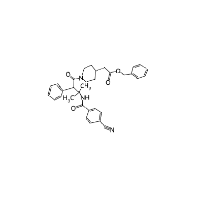 CC(C)(NC(=O)c1ccc(C#N)cc1)C(C(=O)N1CCC(CC(=O)OCc2ccccc2)CC1)c1ccccc1